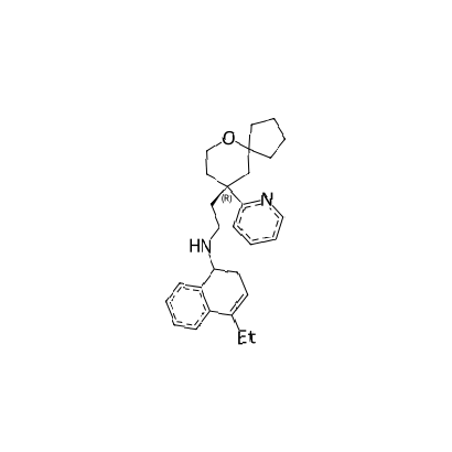 CCC1=CCC(NCC[C@@]2(c3ccccn3)CCOC3(CCCC3)C2)c2ccccc21